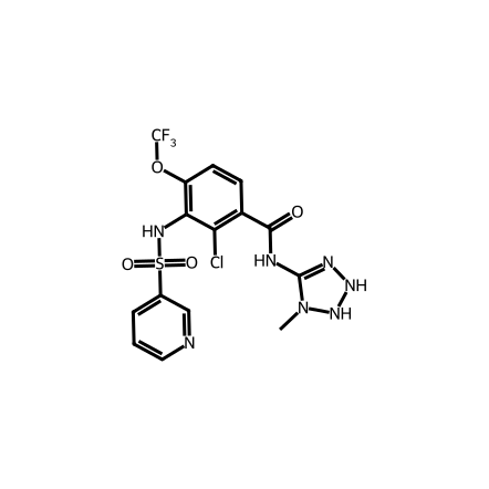 CN1NNN=C1NC(=O)c1ccc(OC(F)(F)F)c(NS(=O)(=O)c2cccnc2)c1Cl